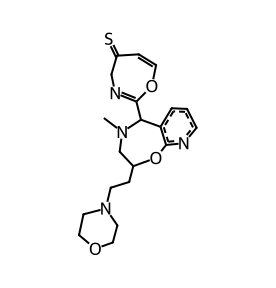 CN1CC(CCN2CCOCC2)Oc2ncccc2C1C1=NCC(=S)C=CO1